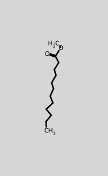 [CH2]OC(=O)CCCCCCCCCCC